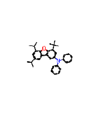 CC(C)c1cc(C(C)C)c2oc3c(C(C)(C)C)cc(N(c4ccccc4)c4ccccc4)cc3c2c1